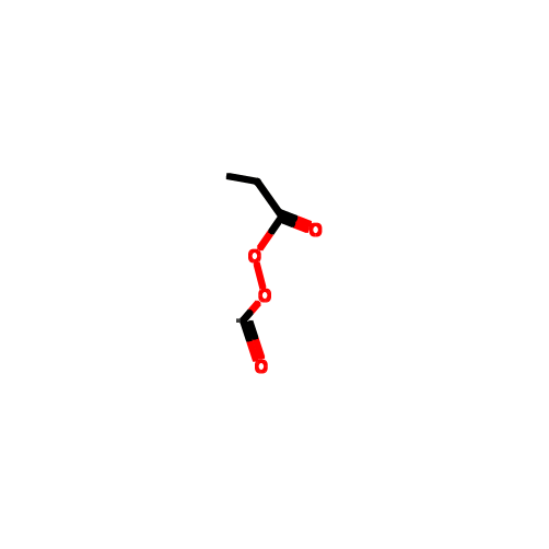 CCC(=O)OO[C]=O